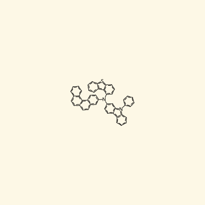 c1ccc(-n2c3ccccc3c3ccc(N(c4ccc5c(ccc6ccc7ccccc7c65)c4)c4cccc5sc6ccccc6c45)cc32)cc1